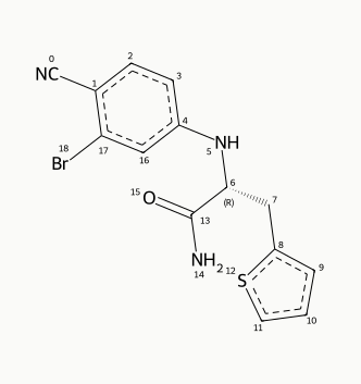 N#Cc1ccc(N[C@H](Cc2cccs2)C(N)=O)cc1Br